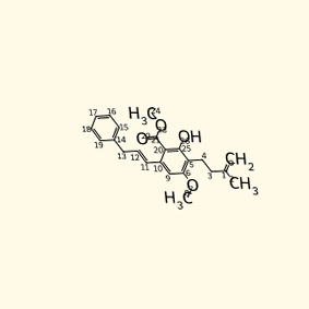 C=C(C)CCc1c(OC)cc(C=CCc2ccccc2)c(C(=O)OC)c1O